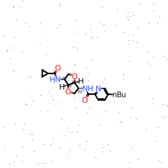 CCCCc1ccc(C(=O)N[C@H]2CO[C@H]3[C@@H]2OC[C@@H]3NC(=O)C2CC2)nc1